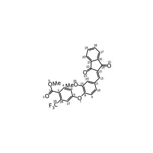 COC(=O)c1ccc(Oc2ccc(C=C3C(=O)c4ccccc4C3=O)cc2OC)cc1C(F)(F)F